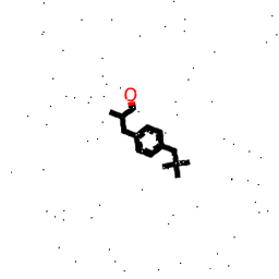 CC(C=O)Cc1ccc(CC(C)(C)C)cc1